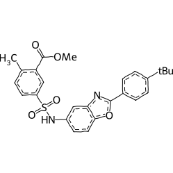 COC(=O)c1cc(S(=O)(=O)Nc2ccc3oc(-c4ccc(C(C)(C)C)cc4)nc3c2)ccc1C